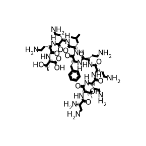 CC(C)C[C@H](NC(=O)[C@@H](Cc1ccccc1)NC(=O)[C@H](CCN)NC(=O)[C@H](CCN)NC(=O)[C@H](CCN)NC(=O)[C@@H](NC(=O)[C@@H](N)CN)[C@@H](C)O)C(=O)N[C@@H](CCN)C(=O)N[C@@H](CCN)C(=O)N[C@H](C(=O)O)[C@@H](C)O